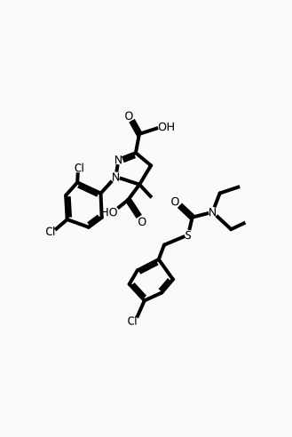 CC1(C(=O)O)CC(C(=O)O)=NN1c1ccc(Cl)cc1Cl.CCN(CC)C(=O)SCc1ccc(Cl)cc1